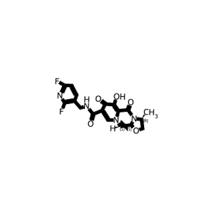 C[C@@H]1CO[C@@]23CCC[C@@H]2n2cc(C(=O)NCc4ccc(F)nc4F)c(=O)c(O)c2C(=O)N13